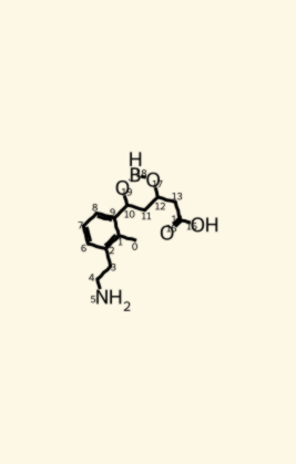 Cc1c(CCN)cccc1C1CC(CC(=O)O)OBO1